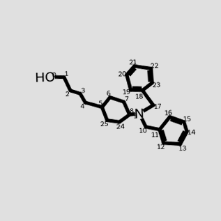 OCCCCC1CCC(N(Cc2ccccc2)Cc2ccccc2)CC1